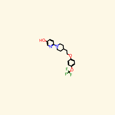 Oc1ccc(N2CCC(CCOc3ccc(OC(F)(F)F)cc3)CC2)nc1